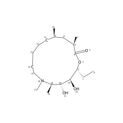 CC[C@H]1OC(=O)[C@H](C)C[C@H](C)CCCCCN(C)[C@H](C)[C@@H](O)[C@@H]1O